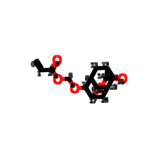 C=CC(=O)OCOC1C2CC3CC(C2)C(=O)OC1C3